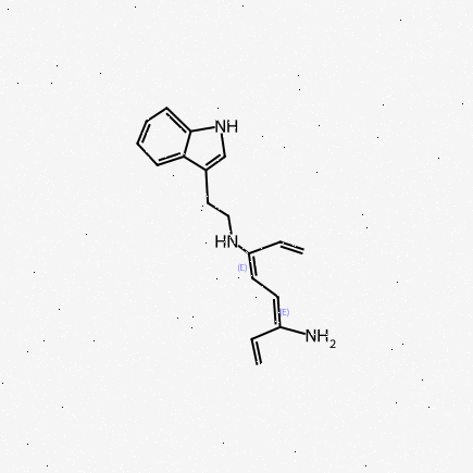 C=C/C(N)=C\C=C(/C=C)NCCc1c[nH]c2ccccc12